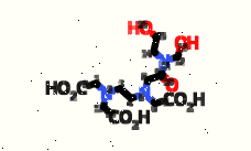 O=C(O)CN(CCN(CC(=O)O)CC(=O)N(CO)CCO)CC(=O)O